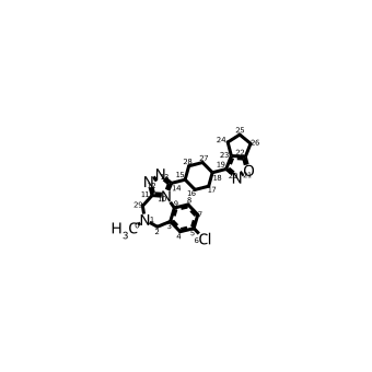 CN1Cc2cc(Cl)ccc2-n2c(nnc2C2CCC(c3noc4c3CCC4)CC2)C1